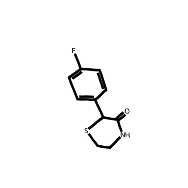 O=C1NCCSC1c1ccc(F)cc1